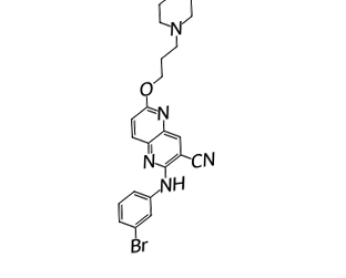 N#Cc1cc2nc(OCCCN3CCOCC3)ccc2nc1Nc1cccc(Br)c1